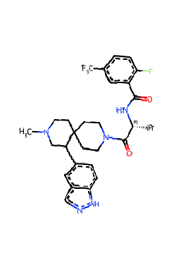 CC(C)[C@@H](NC(=O)c1cc(C(F)(F)F)ccc1F)C(=O)N1CCC2(CCN(C)CC2c2ccc3[nH]ncc3c2)CC1